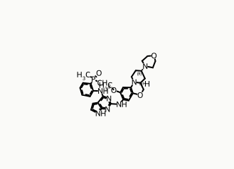 COc1cc2c(cc1Nc1nc(Nc3ccccc3P(C)(C)=O)c3cc[nH]c3n1)OC[C@@H]1C[C@H](N3CCOCC3)CCN21